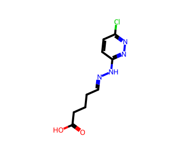 O=C(O)CCCC=NNc1ccc(Cl)nn1